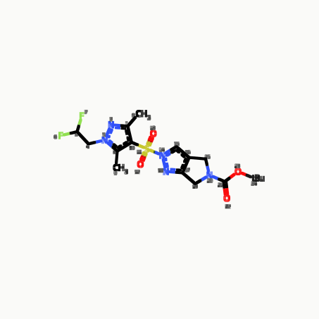 Cc1nn(CC(F)F)c(C)c1S(=O)(=O)n1cc2c(n1)CN(C(=O)OC(C)(C)C)C2